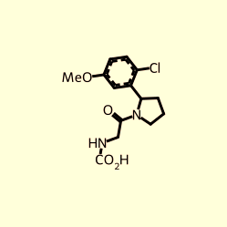 COc1ccc(Cl)c(C2CCCN2C(=O)CNC(=O)O)c1